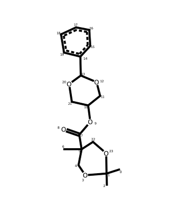 CC1(C)OCC(C)(C(=O)OC2COC(c3ccccc3)OC2)CO1